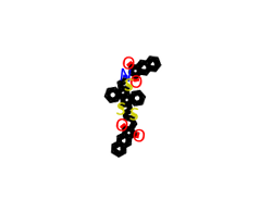 O=C1C(=Cc2cc3sc4c(c3s2)C2(CCCCC2)C2=C4C3(CCCCC3)c3cc(N=c4c(=O)c5cc6ccccc6cc5c4=O)sc32)C(=O)c2cc3ccccc3cc21